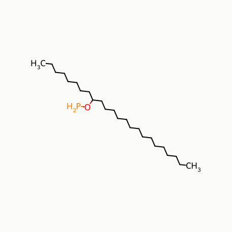 CCCCCCCCCCCCCCCC(CCCCCCCC)OP